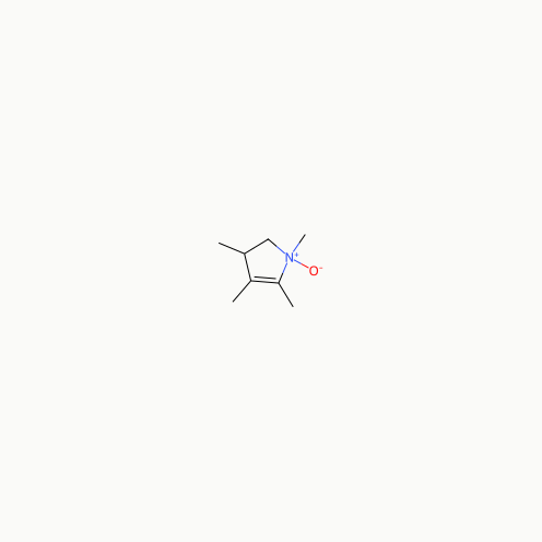 CC1=C(C)[N+](C)([O-])CC1C